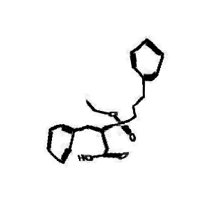 CCOP(=O)(CCCc1ccccc1)C(Cc1ccccc1)C(=O)O